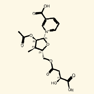 CC(=O)O[C@@H]1[C@H](C)[C@@H](COC(=O)C[C@H](O)C(=O)O)O[C@H]1[n+]1cccc(C(=O)O)c1